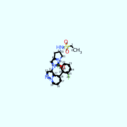 CCS(=O)(=O)N[C@H]1Cc2cn(-c3cnn4cccc(-c5c(F)cccc5F)c34)c(=O)n2C1